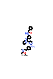 CNCC(=O)N(C)CCc1ccc(Nc2nccc(-c3c(-c4cccc(NC(=O)Cc5ccccc5)c4)nc4ccccn34)n2)cc1